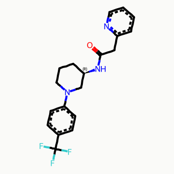 O=C(Cc1ccccn1)N[C@@H]1CCCN(c2ccc(C(F)(F)F)cc2)C1